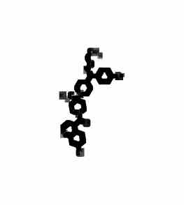 CCO/N=C(\c1ccc(Br)cc1)C1CCN(C2(C)CCN(C(=O)c3ccnc4cc(Cl)ccc34)CC2)CC1